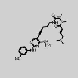 CCCNc1nc(Nc2cccc(C#N)c2)ncc1C#CCCCNC(=O)[C@H](C)N(C)C(=O)C=CCN(C)C